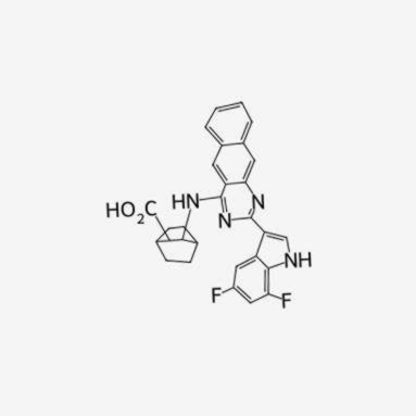 O=C(O)C1C2CCC(CC2)C1Nc1nc(-c2c[nH]c3c(F)cc(F)cc23)nc2cc3ccccc3cc12